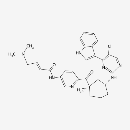 CN(C)C/C=C/C(=O)Nc1ccc(C(=O)[C@]2(C)CCC[C@@H](Nc3ncc(Cl)c(-c4c[nH]c5ccccc45)n3)C2)nc1